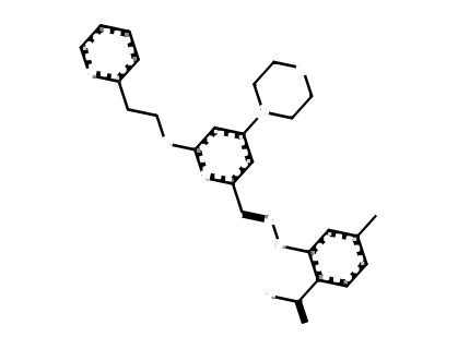 Cc1ccc(C(N)=O)c(NN=Cc2cc(N3CCOCC3)cc(OCCc3ccccn3)n2)c1